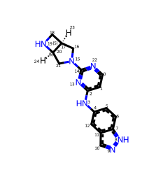 c1cc(Nc2ccc3[nH]ncc3c2)nc(N2C[C@@H]3CN[C@@H]3C2)n1